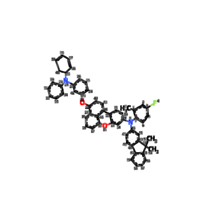 Cc1cc(F)ccc1N(c1ccc2c(c1)Oc1cccc3c(Oc4cccc(N(c5ccccc5)C5C=CC=CC5)c4)ccc-2c13)c1ccc2c(c1)C(C)(C)c1ccccc1-2